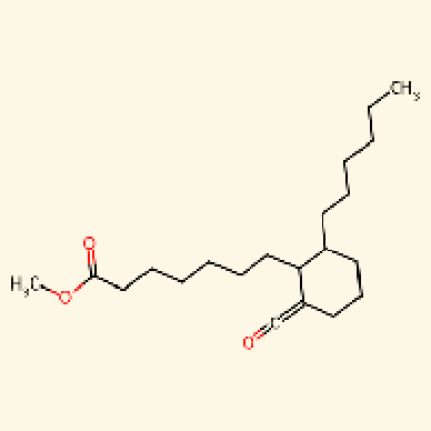 CCCCCCC1CCCC(=C=O)C1CCCCCCC(=O)OC